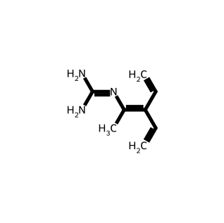 C=CC(C=C)=C(C)N=C(N)N